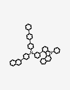 c1ccc(-c2ccc(-c3ccc(N(c4ccc(-c5ccc6ccccc6c5)cc4)c4cccc(-c5cccc6c5c5c7ccccc7ccc5n6-c5ccccc5)c4)cc3)cc2)cc1